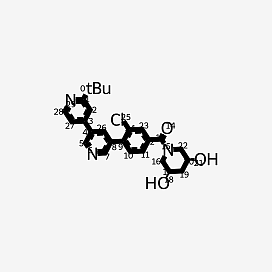 CC(C)(C)c1cc(-c2cncc(-c3ccc(C(=O)N4C[C@@H](O)C[C@H](O)C4)cc3Cl)c2)ccn1